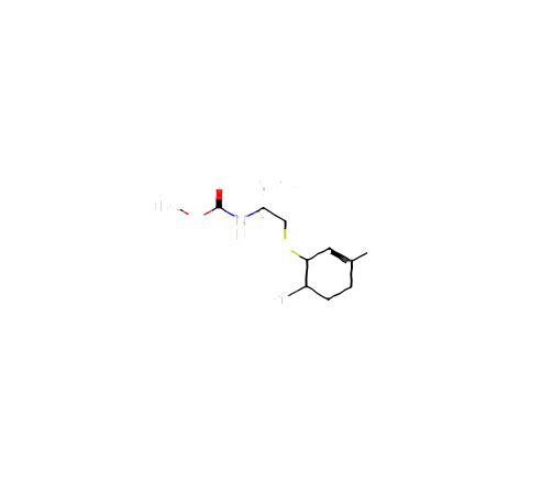 CCOC(=O)[C@H](CSC1C=C(C)CCC1C(C)C)NC(=O)OC(C)(C)C